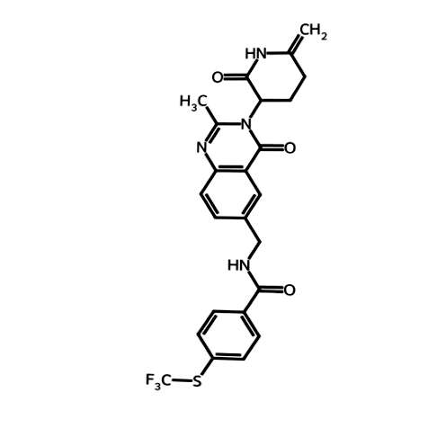 C=C1CCC(n2c(C)nc3ccc(CNC(=O)c4ccc(SC(F)(F)F)cc4)cc3c2=O)C(=O)N1